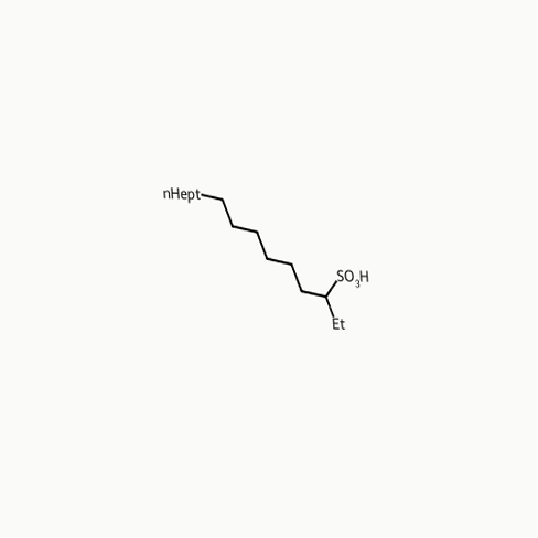 CCCCCCCCCCCCCC(CC)S(=O)(=O)O